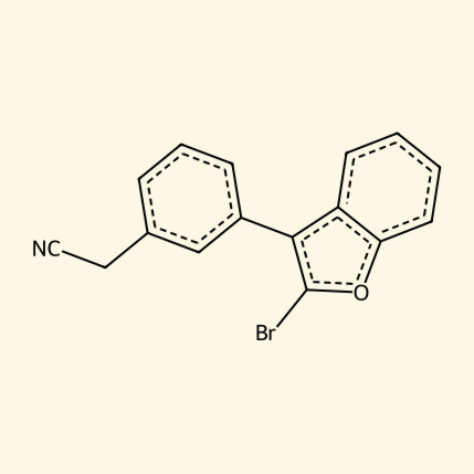 N#CCc1cccc(-c2c(Br)oc3ccccc23)c1